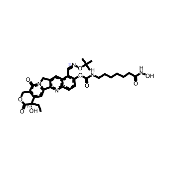 CC[C@@]1(O)C(=O)OCc2c1cc1n(c2=O)Cc2cc3c(/C=N\OC(C)(C)C)c(OC(=O)NCCCCCCC(=O)NO)ccc3nc2-1